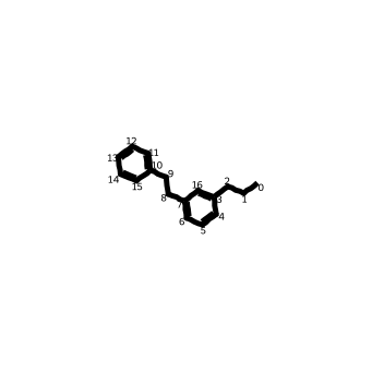 CCCc1cccc(CCc2ccccc2)c1